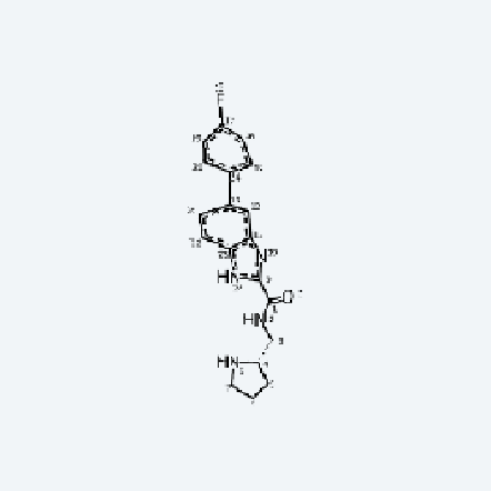 O=C(NC[C@@H]1CCCN1)c1nc2cc(-c3ccc(F)cc3)ccc2[nH]1